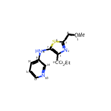 CCOC(=O)c1nc(COC)sc1Nc1cccnc1